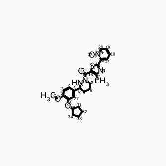 COc1ccc(C2CCCN(C(=O)c3sc(-c4cccc[n+]4[O-])nc3C)N2)cc1OC1CCCC1